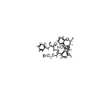 CCOC(=O)CC(CCC(=O)N(C)Cc1ccccc1)c1ccc(C)c(CN2C[C@H](C)Oc3ccccc3S2(O)O)c1